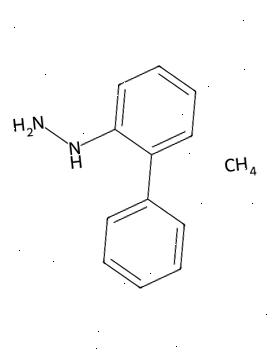 C.NNc1ccccc1-c1ccccc1